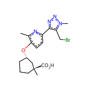 Cc1nc(-c2nnn(C)c2CBr)ccc1O[C@H]1CCC[C@](C)(C(=O)O)C1